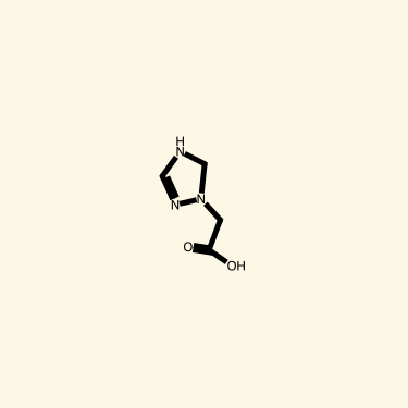 O=C(O)CN1CNC=N1